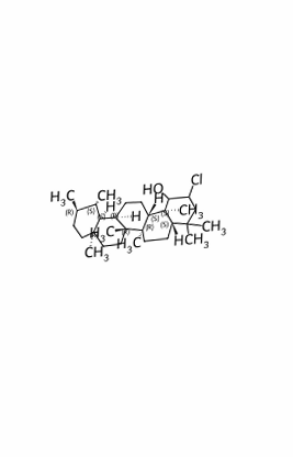 C[C@@H]1[C@H]2[C@H]3CC[C@@H]4[C@@]5(C)C(O)C(Cl)CC(C)(C)[C@@H]5CC[C@@]4(C)[C@]3(C)CC[C@@]2(C)CC[C@H]1C